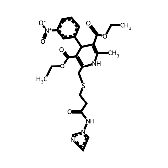 CCOC(=O)C1=C(C)NC(CSCCC(=O)Nn2ccnc2)=C(C(=O)OCC)C1c1cccc([N+](=O)[O-])c1